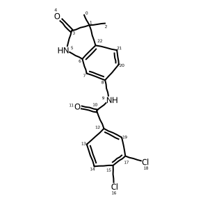 CC1(C)C(=O)Nc2cc(NC(=O)c3ccc(Cl)c(Cl)c3)ccc21